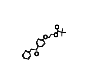 CC(C)(C)C(=O)OCCOc1ccc(C(=O)Cc2ccccc2)cc1